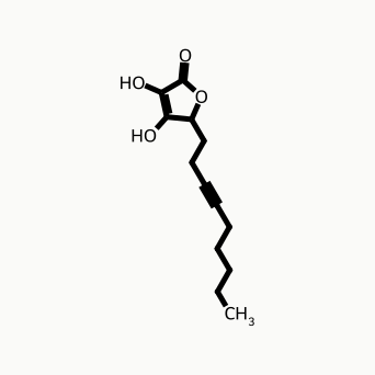 CCCCCC#CCCC1OC(=O)C(O)=C1O